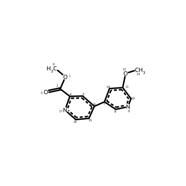 COC(=O)c1cc(-c2cncc(OC)c2)ccn1